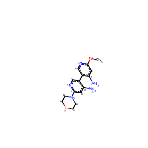 COc1cc(N)c(-c2cnc(N3CCOCC3)cc2N)cn1